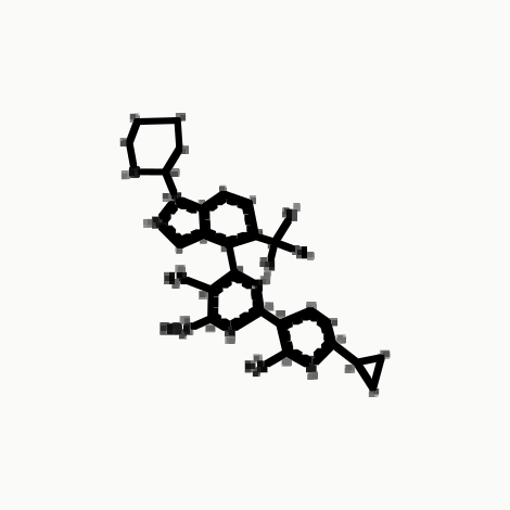 [2H]C([2H])([2H])c1ccc2c(cnn2C2CCCCO2)c1-c1nc(-c2ccc(C3CC3)nc2N)nc(C(=O)OCC)c1N